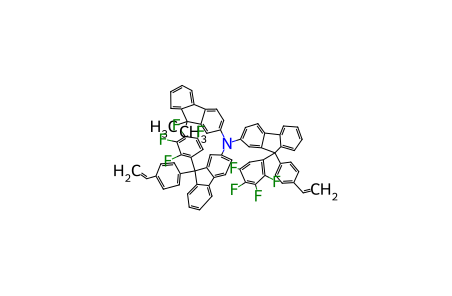 C=Cc1ccc(C2(c3cc(F)c(F)c(F)c3F)c3ccccc3-c3ccc(N(c4ccc5c(c4)C(C)(C)c4ccccc4-5)c4ccc5c(c4)C(c4ccc(C=C)cc4)(c4cc(F)c(F)c(F)c4F)c4ccccc4-5)cc32)cc1